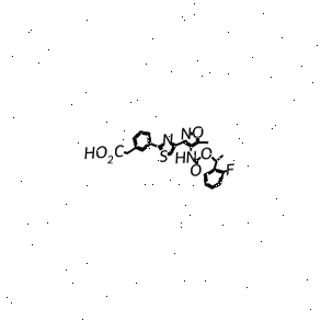 Cc1onc(-c2csc(-c3cccc(CC(=O)O)c3)n2)c1NC(=O)OC(C)c1ccccc1F